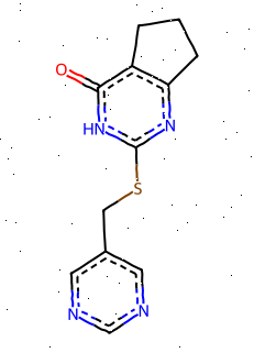 O=c1[nH]c(SCc2cncnc2)nc2c1CCC2